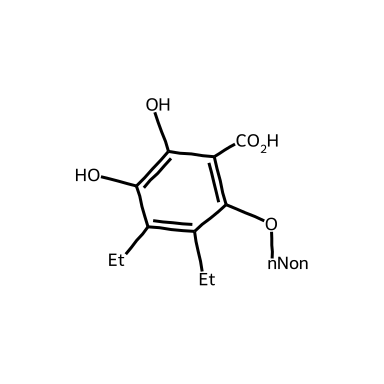 CCCCCCCCCOc1c(CC)c(CC)c(O)c(O)c1C(=O)O